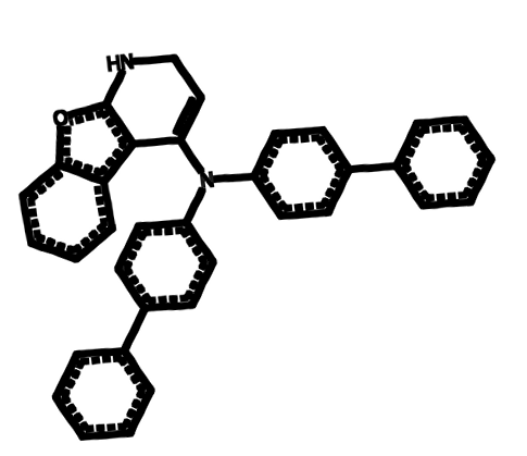 C1=C(N(c2ccc(-c3ccccc3)cc2)c2ccc(-c3ccccc3)cc2)c2c(oc3ccccc23)NC1